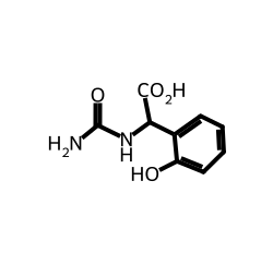 NC(=O)NC(C(=O)O)c1ccccc1O